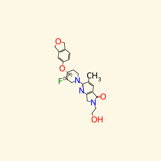 Cc1cc2c(nc1N1CC[C@@H](Oc3ccc4c(c3)COC4)[C@@H](F)C1)CN(CCO)C2=O